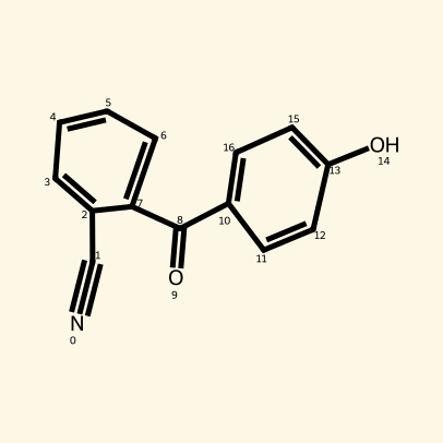 N#Cc1ccccc1C(=O)c1ccc(O)cc1